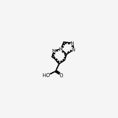 O=C(O)c1cnn2cnnc2c1